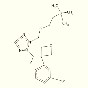 C[Si](C)(C)CCOCn1ncnc1C(F)C1(c2cccc(Br)c2)COC1